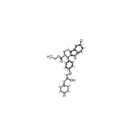 CCOC(=O)N1CCc2c([nH]c3ccc(Cl)cc23)C1c1ccc(OCC(O)CN2CCNCC2)cc1